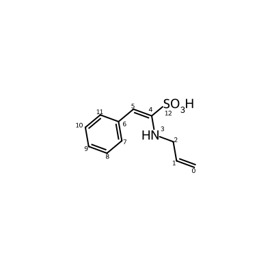 C=CCNC(=Cc1ccccc1)S(=O)(=O)O